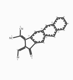 N#CC(C#N)=C1/C(=C/Br)C(=O)c2cc3cc4ccccc4cc3cc21